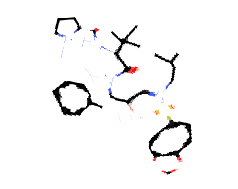 CC(C)CN(C[C@@H](O)[C@H](Cc1ccccc1)NC(=O)[C@@H](NC(=O)[C@@H]1CCCN1)C(C)(C)C)S(=O)(=O)c1ccc2c(c1)OCO2